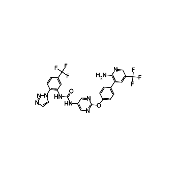 Nc1ncc(C(F)(F)F)cc1-c1ccc(Oc2ncc(NC(=O)Nc3cc(C(F)(F)F)ccc3-n3ccnn3)cn2)cc1